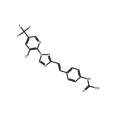 O=C(O)Nc1ccc(C=Cc2ncn(-c3ncc(C(F)(F)F)cc3Cl)n2)cc1